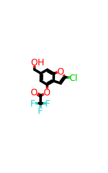 O=C(Oc1cc(CO)cc2oc(Cl)cc12)C(F)(F)F